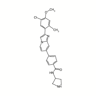 COc1cc(C)c(-c2cn3ccc(-c4ccc(C(=O)NC5CCNC5)cc4)cc3n2)cc1Cl